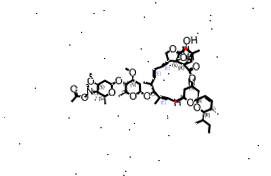 CCC(C)[C@H]1O[C@]2(C=C[C@@H]1C)C[C@@H]1C[C@@H](C/C=C(\C)[C@@H](OC3C[C@H](OC)[C@@H](OC4C[C@H](OC)[C@](C)(N(C)OC(C)=O)[C@H](C)O4)[C@H](C)O3)C(C)/C=C/C=C3\CO[C@@H]4[C@H](O)C(C)=C[C@@H](C(=O)O1)[C@]34O)O2